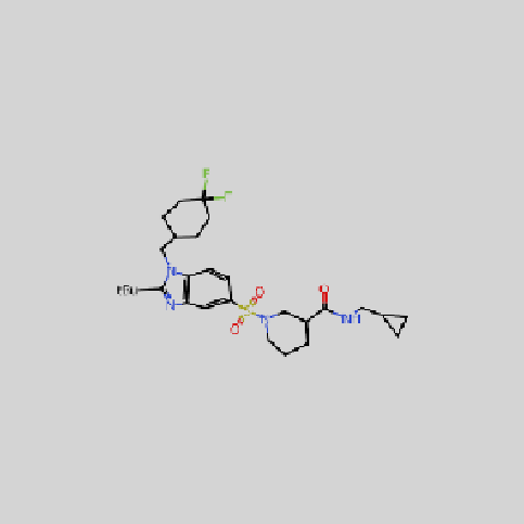 CC(C)(C)c1nc2cc(S(=O)(=O)N3CCCC(C(=O)NCC4CC4)C3)ccc2n1CC1CCC(F)(F)CC1